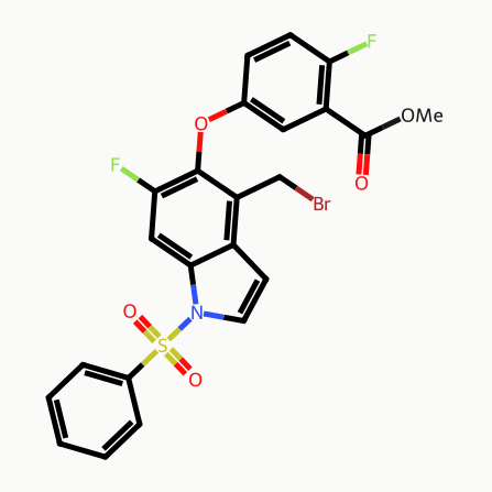 COC(=O)c1cc(Oc2c(F)cc3c(ccn3S(=O)(=O)c3ccccc3)c2CBr)ccc1F